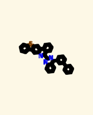 c1ccc(-c2cccc(-c3nc(-c4nc5cc6c(cc5c5ccccc45)sc4ccccc46)nc4ccccc34)c2)cc1